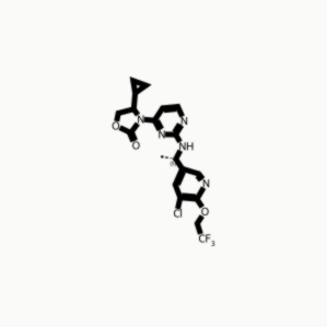 C[C@H](Nc1nccc(N2C(=O)OCC2C2CC2)n1)c1cnc(OCC(F)(F)F)c(Cl)c1